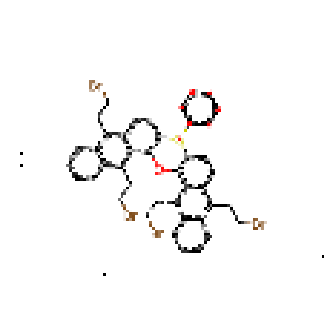 BrCCc1c2ccccc2c(CCBr)c2c(Oc3c(Sc4ccccc4)ccc4c(CCBr)c5ccccc5c(CCBr)c34)c(Sc3ccccc3)ccc12